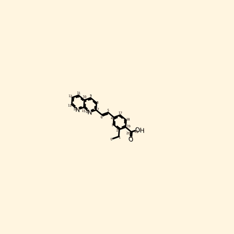 CCc1cc(/C=C/c2ccc3cccnc3n2)ccc1C(=O)O